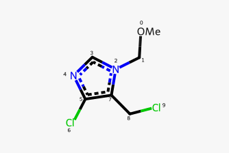 COCn1cnc(Cl)c1CCl